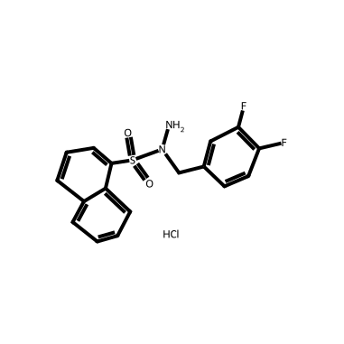 Cl.NN(Cc1ccc(F)c(F)c1)S(=O)(=O)c1cccc2ccccc12